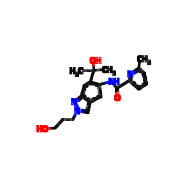 Cc1cccc(C(=O)Nc2cc3cn(CCCO)nc3cc2C(C)(C)O)n1